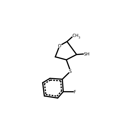 CC1OCC(Sc2ccccc2F)C1S